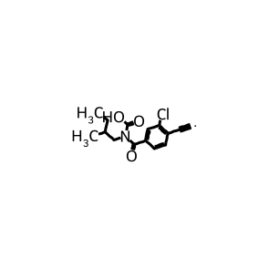 [C]#Cc1ccc(C(=O)N(CC(C)CC)C(=O)O)cc1Cl